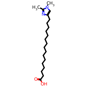 Cc1nc(CCCCCCCCCCCCCCCC(=O)O)cn1C